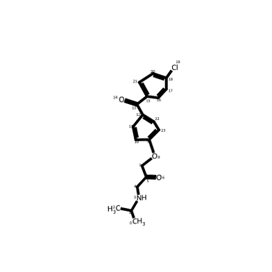 CC(C)NCC(=O)COc1ccc(C(=O)c2ccc(Cl)cc2)cc1